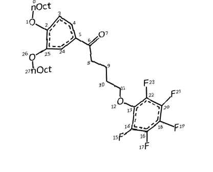 CCCCCCCCOc1ccc(C(=O)CCCCOc2c(F)c(F)c(F)c(F)c2F)cc1OCCCCCCCC